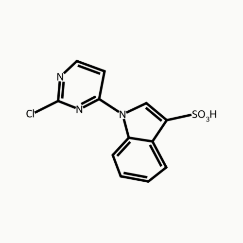 O=S(=O)(O)c1cn(-c2ccnc(Cl)n2)c2ccccc12